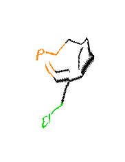 ClC1=PC=C1